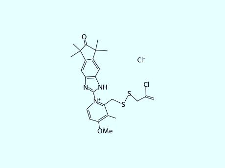 C=C(Cl)CSSCc1c(C)c(OC)cc[n+]1-c1nc2cc3c(cc2[nH]1)C(C)(C)C(=O)C3(C)C.[Cl-]